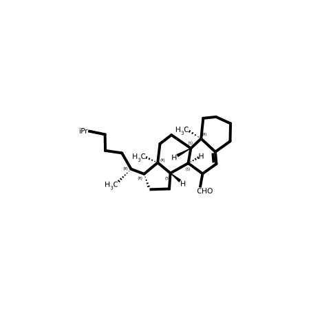 CC(C)CCC[C@@H](C)[C@H]1CC[C@H]2[C@@H]3C(C=O)C=C4CCCC[C@]4(C)[C@H]3CC[C@]12C